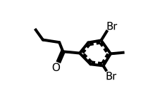 CCCC(=O)c1cc(Br)c(C)c(Br)c1